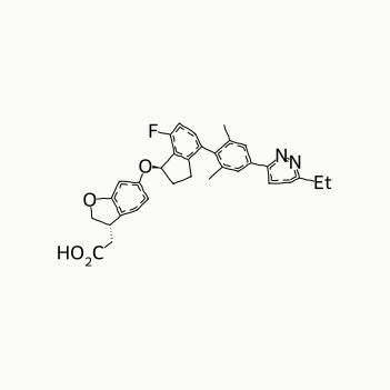 CCc1ccc(-c2cc(C)c(-c3ccc(F)c4c3CC[C@H]4Oc3ccc4c(c3)OC[C@H]4CC(=O)O)c(C)c2)nn1